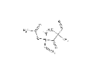 C=CC(C)(OC(C)=O)C(=O)C(C)(C)[C]=O